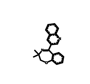 CC1(C)COc2ccccc2C(c2cnc3ccccc3c2)=N1